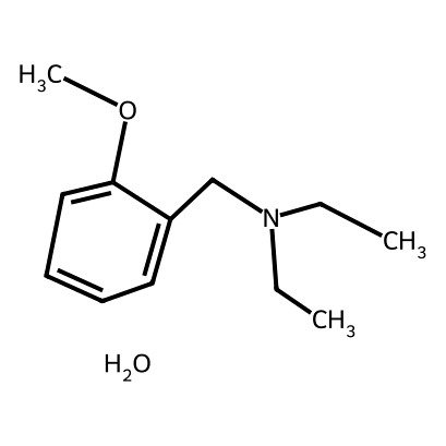 CCN(CC)Cc1ccccc1OC.O